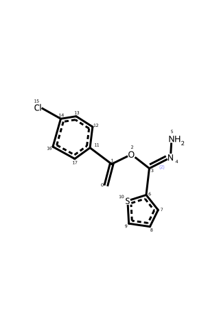 C=C(O/C(=N\N)c1cccs1)c1ccc(Cl)cc1